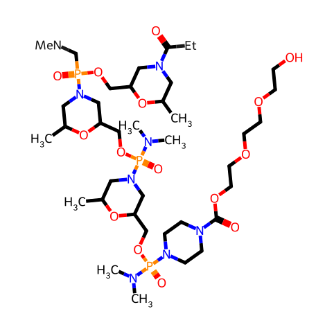 CCC(=O)N1CC(C)OC(COP(=O)(CNC)N2CC(C)OC(COP(=O)(N(C)C)N3CC(C)OC(COP(=O)(N(C)C)N4CCN(C(=O)OCCOCCOCCO)CC4)C3)C2)C1